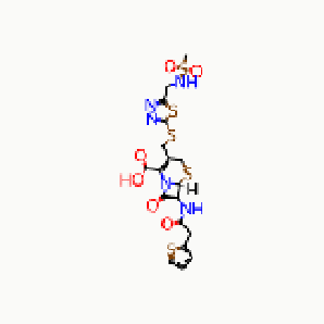 CS(=O)(=O)NCc1nnc(SCC2=C(C(=O)O)N3C(=O)C(NC(=O)Cc4cccs4)[C@@H]3SC2)s1